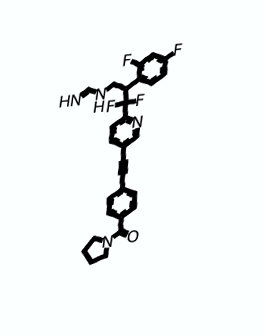 N=CNCC(c1ccc(F)cc1F)C(F)(F)c1ccc(C#Cc2ccc(C(=O)N3CCCC3)cc2)cn1